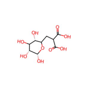 O=C(O)C(CC1O[C@H](O)[C@H](O)C(O)[C@@H]1O)C(=O)O